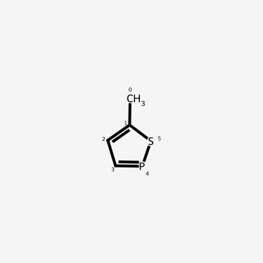 Cc1ccps1